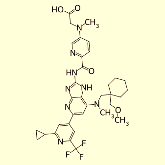 COCC1(CN(C)c2cc(-c3cc(C4CC4)nc(C(F)(F)F)c3)nc3nc(NC(=O)c4ccc(N(C)CC(=O)O)cn4)[nH]c23)CCCCC1